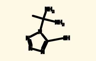 CC(N)(N)n1nnnc1S